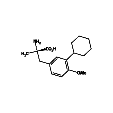 COc1ccc(C[C@](C)(N)C(=O)O)cc1C1CCCCC1